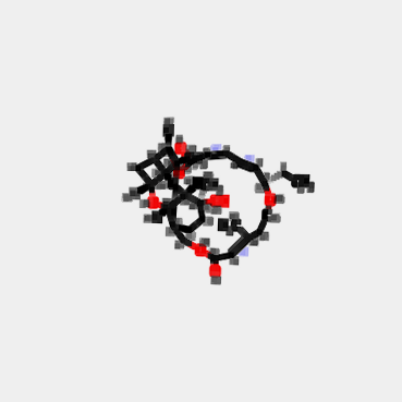 CC[C@H]1/C=C/C=C\C(=O)O[C@@H]2C3C[C@H]4O[C@@H]5[C@@H]6C[C@]34[C@@]2(C)[C@]5(CC[C@]6(C)O)COC(=O)/C=C(\C)CCO1